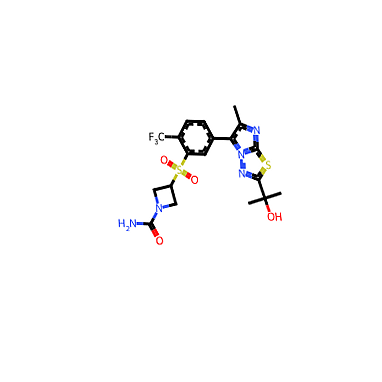 Cc1nc2sc(C(C)(C)O)nn2c1-c1ccc(C(F)(F)F)c(S(=O)(=O)C2CN(C(N)=O)C2)c1